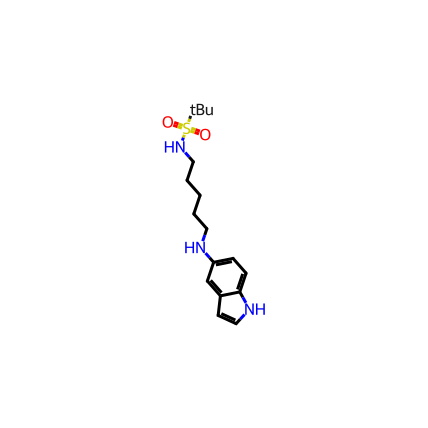 CC(C)(C)S(=O)(=O)NCCCCCNc1ccc2[nH]ccc2c1